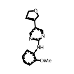 COc1ccccc1Nc1ncc(C2=CCOC2)cn1